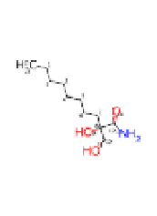 CCCCCCCCC(O)(CO)C(N)=O